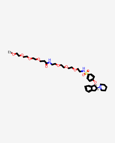 CCOCCOCCOCCOCCC(=O)NCCOCCOCCOCCNS(=O)(=O)c1ccc(O[C@H]2c3ccccc3C[C@@H]2N2CCCCC2)cc1